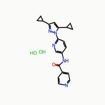 Cl.Cl.O=C(Nc1ccc(-n2nc(C3CC3)cc2C2CC2)nc1)c1ccncc1